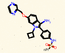 CCCS(=O)(=O)Nc1ccc(-c2c(N)c3ccc(OCc4cnccn4)cc3n2C2CCC2)cc1